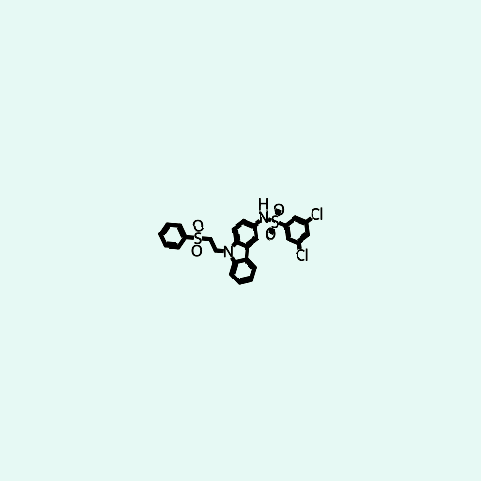 O=S(=O)(CCn1c2ccccc2c2cc(NS(=O)(=O)c3cc(Cl)cc(Cl)c3)ccc21)c1ccccc1